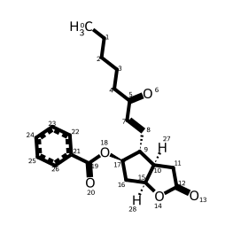 CCCCCC(=O)/C=C/[C@@H]1[C@H]2CC(=O)O[C@H]2C[C@H]1OC(=O)c1ccccc1